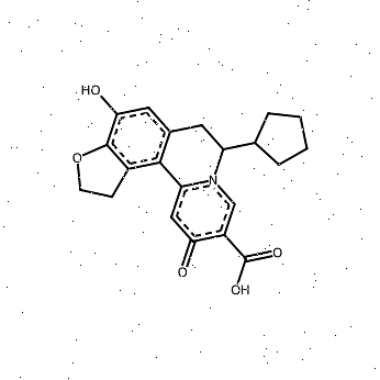 O=C(O)c1cn2c(cc1=O)-c1c(cc(O)c3c1CCO3)CC2C1CCCC1